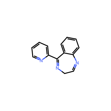 C1=Nc2ccccc2C(c2ccccn2)=NC1